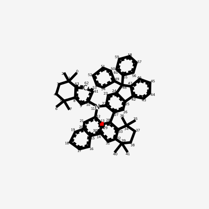 CC1(C)CCC(C)(C)c2cc(N(c3ccc4ccccc4c3)c3cc4c(cc3-c3cccc5c3C(C)(C)CCC5(C)C)-c3ccccc3C4(c3ccccc3)c3ccccc3)ccc21